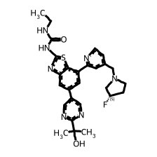 CCNC(=O)Nc1nc2cc(-c3cnc(C(C)(C)O)nc3)cc(-c3cc(CN4CC[C@H](F)C4)ccn3)c2s1